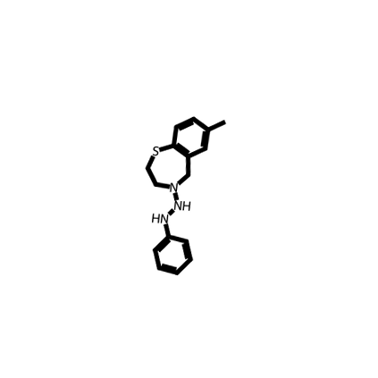 Cc1ccc2c(c1)CN(NNc1ccccc1)CCS2